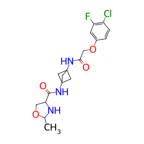 CC1NC(C(=O)NC23CC(NC(=O)COc4ccc(Cl)c(F)c4)(C2)C3)CO1